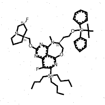 CCC[CH2][Sn]([CH2]CCC)([CH2]CCC)[c]1nc2c3c(nc(OC[C@@]45CCCN4C[C@H](F)C5)nc3c1F)N(C)[C@@H](CCO[Si](c1ccccc1)(c1ccccc1)C(C)(C)C)CO2